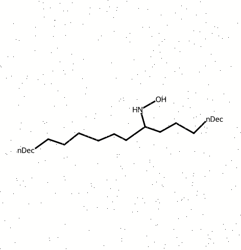 CCCCCCCCCCCCCCCCC(CCCCCCCCCCCCC)NO